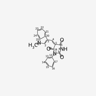 Cn1cc(/C=C2/C(=O)NC(=O)N(c3ccccc3)C2=O)c2ccccc21